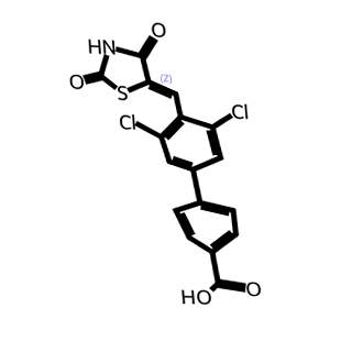 O=C1NC(=O)/C(=C/c2c(Cl)cc(-c3ccc(C(=O)O)cc3)cc2Cl)S1